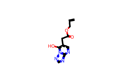 C=CCOC(=O)Cc1cnc2ncnn2c1O